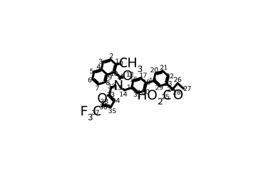 Cc1ccc2ccccc2c1C(=O)N(Cc1ccc(-c2cccc(C3(C(=O)O)CCO3)c2)cc1)Cc1ccc(C(F)(F)F)o1